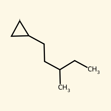 CCC(C)CCC1[CH]C1